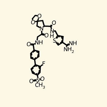 CS(=O)(=O)c1ccc(-c2ccc(C(=O)NCC(=O)N3CC4(CC3C(=O)NCc3cc(C(=N)N)cs3)OCCO4)cc2)c(F)c1